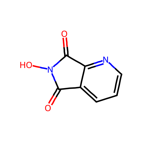 O=C1c2cccnc2C(=O)N1O